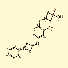 CCC1(O)CN(Cc2ccc(OC3CN(c4[c]cccc4)C3)cc2C)C1